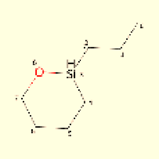 CC[CH][SiH]1CCCCO1